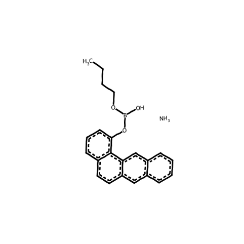 CCCCOB(O)Oc1cccc2ccc3cc4ccccc4cc3c12.N